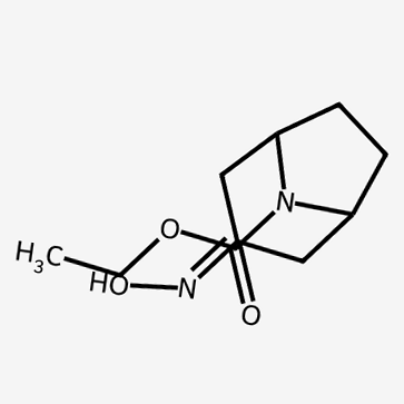 CCOC(=O)N1C2CCC1CC(=NO)C2